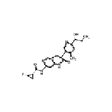 CC[C@@H](O)c1cc(C)c(-c2cc3cnc(NC(=O)[C@@H]4C[C@@H]4F)cc3[nH]c2=O)cn1